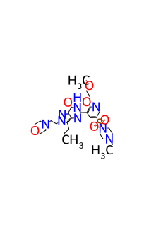 CCCc1c2nc(-c3cc(S(=O)(=O)N4CCN(CC)CC4)cnc3OCCOC)[nH]c(=O)c2nn1CCN1CCOCC1